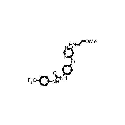 COCCNc1cc(Oc2ccc(NC(=O)Nc3ccc(C(F)(F)F)cc3)cc2)ncn1